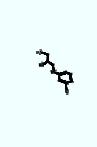 NCC(O)CNc1cccc(Cl)c1